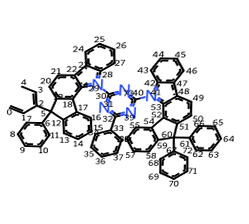 C=C/C(=C\C)C1(c2ccccc2)c2ccccc2-c2c1ccc1c3ccccc3n(-c3nc(-c4ccccc4)nc(-n4c5ccccc5c5ccc6c(c54)-c4ccccc4C6(c4ccccc4)c4ccccc4)n3)c21